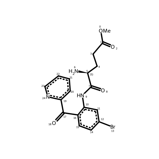 COC(=O)CC[C@H](N)C(=O)Nc1cc(Br)ccc1C(=O)c1ccccn1